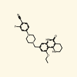 CCOc1cc(CN2CCN(c3ccc(C#N)c(F)c3)CC2)cc2[nH]c(=O)c3c(c12)NCCC3